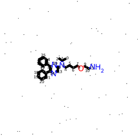 CC(C)N(CCCCOCCN)c1cnc(-c2ccccc2)c(-c2ccccc2)n1